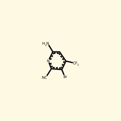 N#Cc1nc(N)cc(C(F)(F)F)c1Br